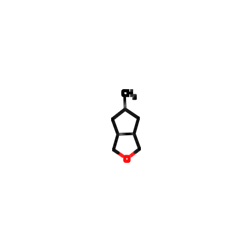 CC1CC2COCC2C1